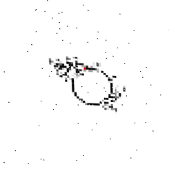 CC[C@@H]1C(=O)O[C@H](C)C/C=C/C=C/C=C/C=C/[C@H](O[C@H]2C[C@@H](N)[C@H](O)CO2)C[C@@H]2O[C@](O)(C[C@@H](O)CCCC(=O)C[C@H]1O)C[C@H](O)[C@H]2C(=O)O